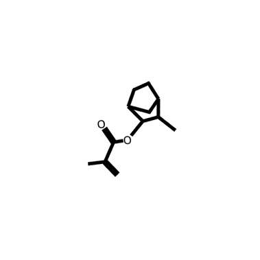 C=C(C)C(=O)OC1C2CCC(C2)C1C